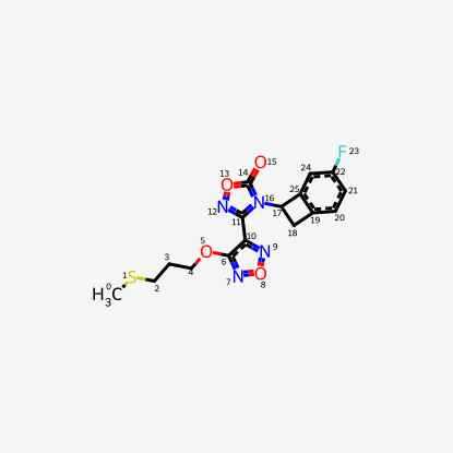 CSCCCOc1nonc1-c1noc(=O)n1C1Cc2ccc(F)cc21